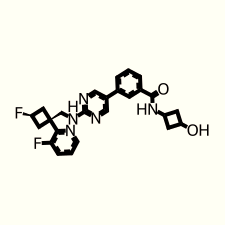 O=C(NC1CC(O)C1)c1cccc(-c2cnc(NC[C@]3(c4ncccc4F)C[C@H](F)C3)nc2)c1